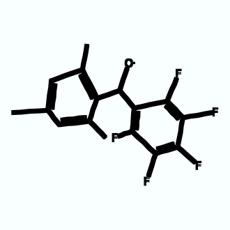 Cc1cc(C)c(C([O])c2c(F)c(F)c(F)c(F)c2F)c(C)c1